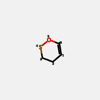 [C]1=CCCSO1